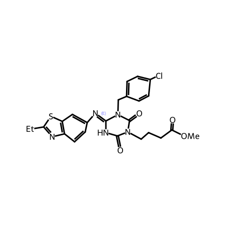 CCc1nc2ccc(/N=c3\[nH]c(=O)n(CCCC(=O)OC)c(=O)n3Cc3ccc(Cl)cc3)cc2s1